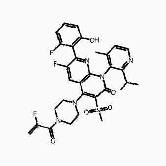 C=C(F)C(=O)N1CCN(c2c(S(C)(=O)=O)c(=O)n(-c3c(C)ccnc3C(C)C)c3nc(-c4c(O)cccc4F)c(F)cc23)CC1